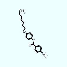 [C-]#[N+]c1ccc(C(=O)Oc2ccc(OCCCCCCC)cc2)cc1